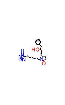 O=C1CCC(C=CC(O)Cc2ccccc2)N1CCCCCCc1nnn[nH]1